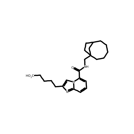 O=C(O)CCCCc1cn2c(C(=O)NCC34CCCCCC(CC3)C4)cccc2n1